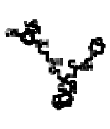 O=Nc1ccc(NCCCNOCCC2(CCC(=O)NCCN3CCOCC3)OOC3(O2)C2CC4CC(C2)CC3C4)c2nonc12